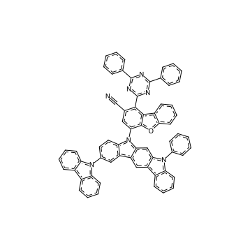 N#Cc1cc(-n2c3ccc(-n4c5ccccc5c5ccccc54)cc3c3cc4c5ccccc5n(-c5ccccc5)c4cc32)c2oc3ccccc3c2c1-c1nc(-c2ccccc2)nc(-c2ccccc2)n1